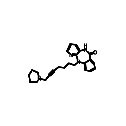 O=C1Nc2cccnc2N(CCCCC#CCN2CCCCC2)c2ccccc21